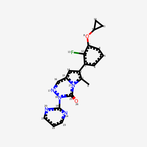 Cc1c(-c2cccc(OC3CC3)c2F)cc2cnn(-c3ncccn3)c(=O)n12